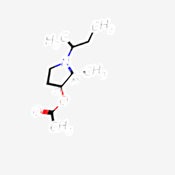 CCC(C)N1CC[C@H](OC(C)=O)[C@H]1C